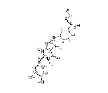 C=C1c2c(nc(NC3CCCC(C(O)OCC)C3)n2C)N(C)C(=O)N1Cc1ccc(Cl)c(Cl)c1